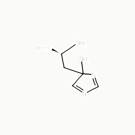 N[C@@H](CC1(N)C=NC=N1)C(=O)O